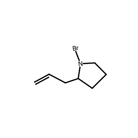 C=CCC1CCCN1Br